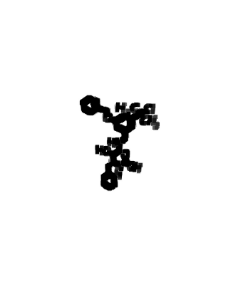 CC(C)(Cl)c1cc(CNC[C@H](O)[C@H](Cc2ccccc2)NC(=O)O)cc(OCc2ccccc2)c1